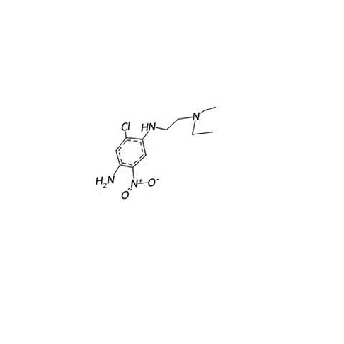 CCN(CC)CCNc1cc([N+](=O)[O-])c(N)cc1Cl